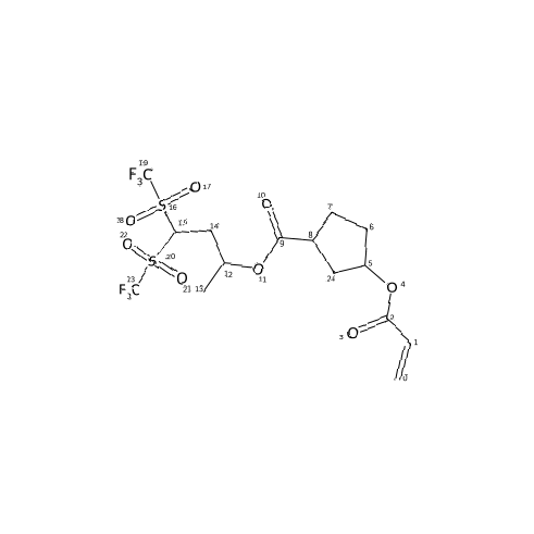 C=CC(=O)OC1CCC(C(=O)OC(C)CC(S(=O)(=O)C(F)(F)F)S(=O)(=O)C(F)(F)F)C1